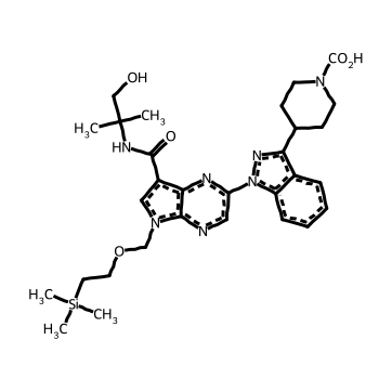 CC(C)(CO)NC(=O)c1cn(COCC[Si](C)(C)C)c2ncc(-n3nc(C4CCN(C(=O)O)CC4)c4ccccc43)nc12